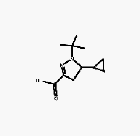 CC(C)(C)N1N=C(C(=O)O)CC1C1CC1